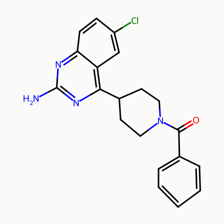 Nc1nc(C2CCN(C(=O)c3ccccc3)CC2)c2cc(Cl)ccc2n1